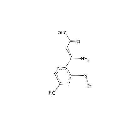 CCSc1cc(C(F)(F)F)cnc1/C(N)=C/C(=O)C=O